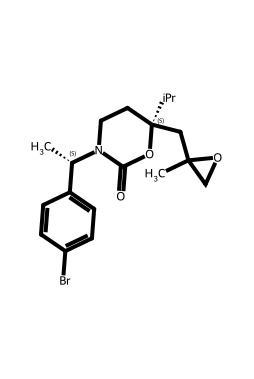 CC(C)[C@@]1(CC2(C)CO2)CCN([C@@H](C)c2ccc(Br)cc2)C(=O)O1